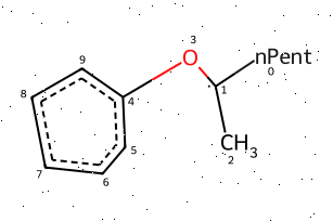 CCCCC[C](C)Oc1ccccc1